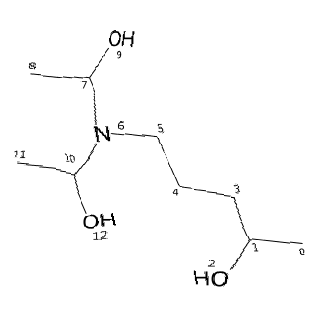 CC(O)CCCN(C(C)O)C(C)O